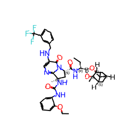 CCOc1ccccc1NC(=O)N[C@]1(C)C[C@@H](C(=O)N[C@@H](CC)B2O[C@@H]3C[C@@H]4C[C@@H](C4(C)C)[C@]3(C)O2)n2c1ncc(NCc1cccc(C(F)(F)F)c1)c2=O